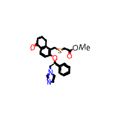 COC(=O)CSCc1c(O[C@H](Cn2ccnc2)c2ccccc2)ccc2c1CCCC2=O